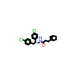 O=C(CCC1CC2CCC1C2)NC[C@H](Cc1ccc(Cl)cc1)c1ccc(Cl)cc1